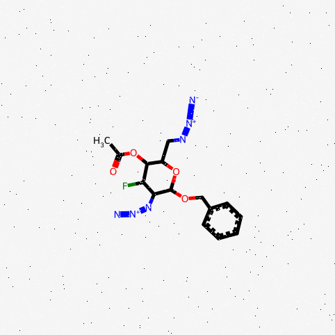 CC(=O)OC1C(CN=[N+]=[N-])OC(OCc2ccccc2)C(N=[N+]=[N-])C1F